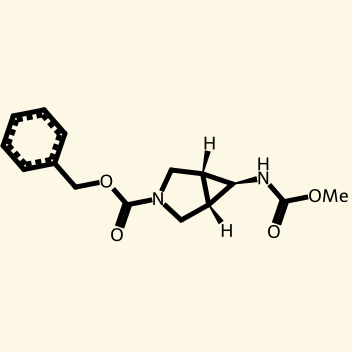 COC(=O)N[C@H]1[C@@H]2CN(C(=O)OCc3ccccc3)C[C@@H]21